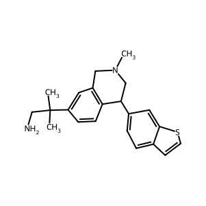 CN1Cc2cc(C(C)(C)CN)ccc2C(c2ccc3ccsc3c2)C1